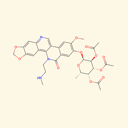 CNCCn1c(=O)c2cc(O[C@@H]3O[C@@H](C)[C@@H](OC(C)=O)[C@@H](OC(C)=O)[C@@H]3OC(C)=O)c(OC)cc2c2cnc3cc4c(cc3c21)OCO4